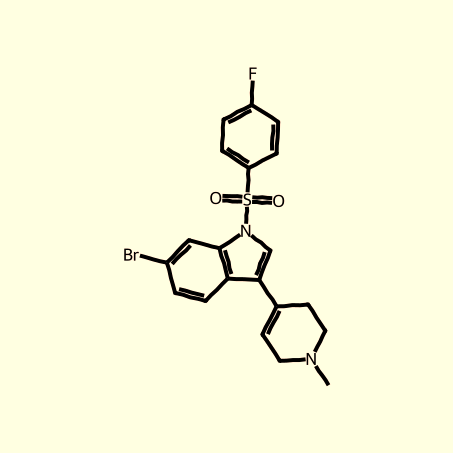 CN1CC=C(c2cn(S(=O)(=O)c3ccc(F)cc3)c3cc(Br)ccc23)CC1